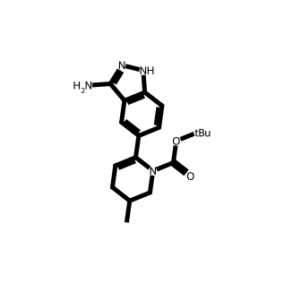 CC1CC=C(c2ccc3[nH]nc(N)c3c2)N(C(=O)OC(C)(C)C)C1